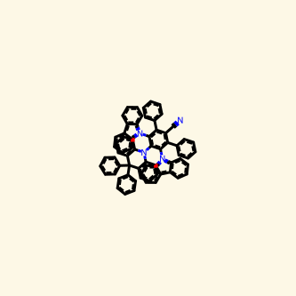 N#Cc1c(-c2ccccc2)c(-n2c3ccccc3c3ccccc32)c(N2c3ccccc3C(c3ccccc3)(c3ccccc3)c3ccccc32)c(-n2c3ccccc3c3ccccc32)c1-c1ccccc1